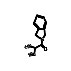 CC(C)(C)C([NH])C(=O)N1Cc2ccccc2C1